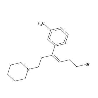 FC(F)(F)c1cccc(/C(=C\CCBr)CCN2CCCCC2)c1